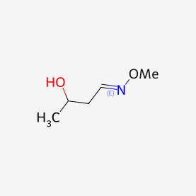 CO/N=C/CC(C)O